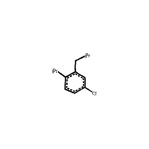 CC(C)Cc1cc(Cl)ccc1C(C)C